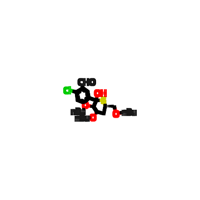 CCCCOC[C@@H]1C[C@H](OCCCC)[C@@H](OCCCC)C(O)(c2ccc(Cl)c(C=O)c2)S1